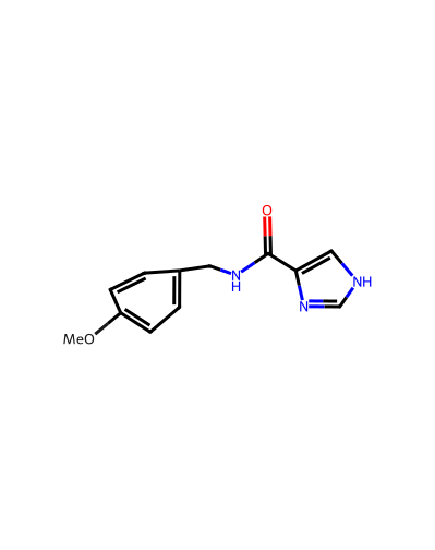 COc1ccc(CNC(=O)c2c[nH]cn2)cc1